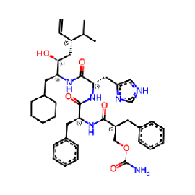 C=C[C@@H](C[C@H](O)[C@H](CC1CCCCC1)NC(=O)[C@H](Cc1c[nH]cn1)NC(=O)[C@H](Cc1ccccc1)NC(=O)[C@H](COC(N)=O)Cc1ccccc1)C(C)C